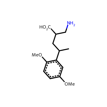 COc1ccc(OC)c(C(C)CC(CN)C(=O)O)c1